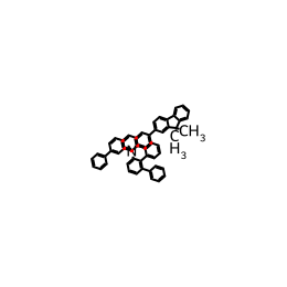 CC1(C)c2ccccc2-c2ccc(-c3ccc(N(c4cccc(-c5ccccc5)c4)c4cccc(-c5ccccc5)c4-c4ccccc4-c4ccccc4)cc3)cc21